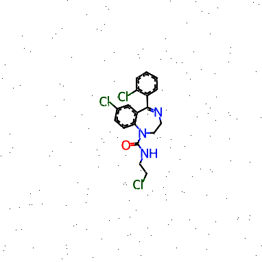 O=C(NCCCl)N1CCN=C(c2ccccc2Cl)c2cc(Cl)ccc21